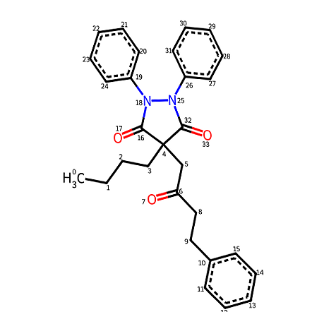 CCCCC1(CC(=O)CCc2ccccc2)C(=O)N(c2ccccc2)N(c2ccccc2)C1=O